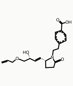 C=CCOC[C@H](O)/C=C/[C@H]1CCC(=O)N1CCc1ccc(C(=O)O)cc1